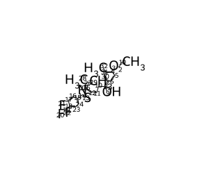 CCCOc1ccc(C(O)CCc2sc(-c3ccc(C(F)(F)F)cc3)nc2C(C)C)cc1C